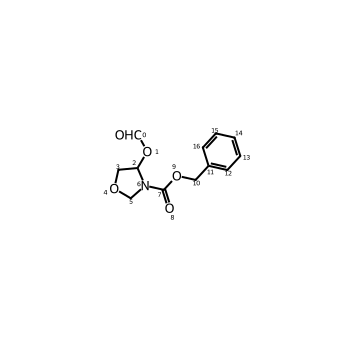 O=COC1COCN1C(=O)OCc1ccccc1